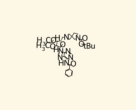 CC(C)(C)OC(=O)N1CCC2(CN(C[C@H]3O[C@@H](n4cnc5c(NC(=O)c6ccccc6)ncnc54)[C@@H]4OC(C)(C)O[C@@H]43)C2)C1